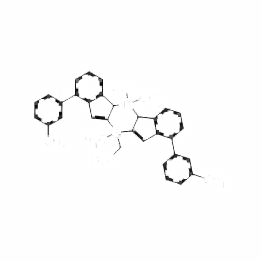 CC[Si]1(C)C2=Cc3c(-c4cccc(C)c4)cccc3[CH]2[Hf]([CH3])([CH3])[CH]2C1=Cc1c(-c3cccc(C)c3)cccc12